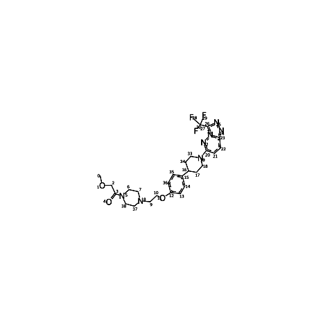 COCC(=O)N1CCN(CCOc2ccc(C3CCN(c4ccc5nnc(C(F)(F)F)n5n4)CC3)cc2)CC1